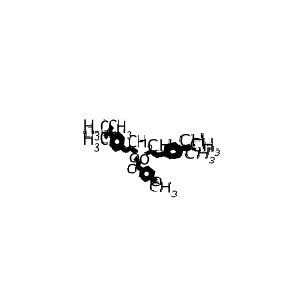 COc1ccc(C(=O)C(OCC(C)Cc2ccc(C(C)(C)C)cc2)OCC(C)Cc2ccc(C(C)(C)C)cc2)cc1